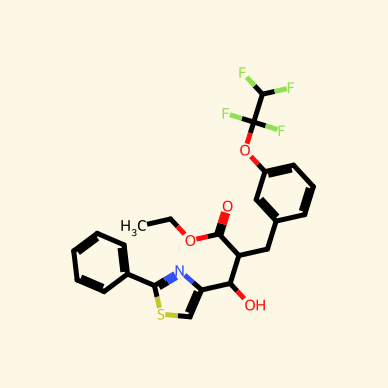 CCOC(=O)C(Cc1cccc(OC(F)(F)C(F)F)c1)C(O)c1csc(-c2ccccc2)n1